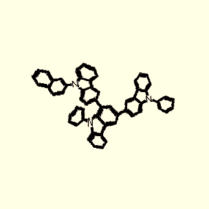 c1ccc(-n2c3ccccc3c3cc(-c4cc(-c5ccc6c(c5)c5ccccc5n6-c5ccc6ccccc6c5)c5c(c4)c4ccccc4n5-c4ccccc4)ccc32)cc1